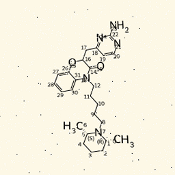 C[C@@H]1CCC[C@H](C)N1CCCCCN1C(=O)C(Cc2ccnc(N)n2)Oc2ccccc21